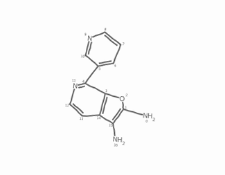 Nc1oc2c(-c3cccnc3)nccc2c1N